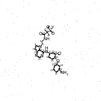 CC(C)(C(=O)NCCn1ccc2ncnc(Nc3ccc(Oc4cccc(N)c4)c(Cl)c3)c21)S(C)(=O)=O